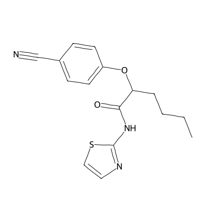 CCCCC(Oc1ccc(C#N)cc1)C(=O)Nc1nccs1